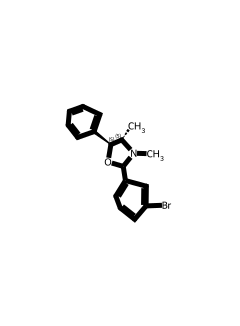 C[C@H]1[C@H](c2ccccc2)OC(c2cccc(Br)c2)N1C